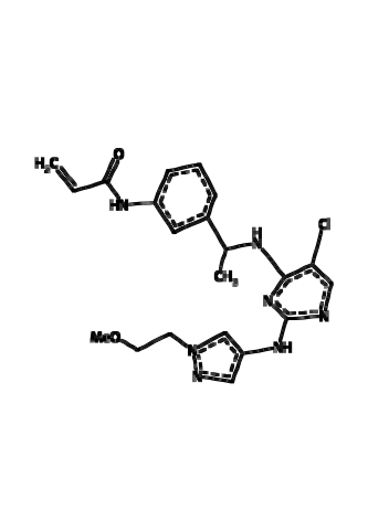 C=CC(=O)Nc1cccc(C(C)Nc2nc(Nc3cnn(CCOC)c3)ncc2Cl)c1